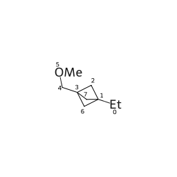 CCC12CC(COC)(C1)C2